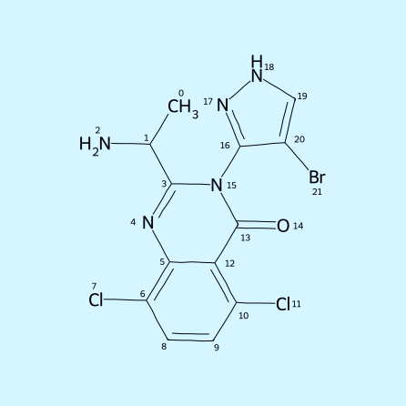 CC(N)c1nc2c(Cl)ccc(Cl)c2c(=O)n1-c1n[nH]cc1Br